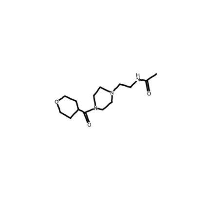 CC(=O)NCCN1CCN(C(=O)C2CCOCC2)CC1